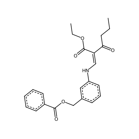 CCCC(=O)C(=CNc1cccc(COC(=O)c2ccccc2)c1)C(=O)OCC